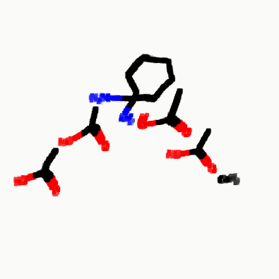 CC(=O)O.CC(=O)O.CC(=O)O.CC(=O)O.NC1(N)CCCCC1.[CaH2]